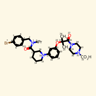 CC(C)N(Cc1ccc(Br)cc1)C(=O)C1CCCN(c2cccc(OC(C)(C)C(=O)N3CCN(C(=O)O)CC3)c2)C1